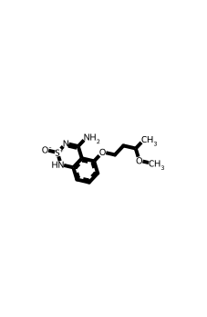 COC(C)CCOc1cccc2c1C(N)=N[S+]([O-])N2